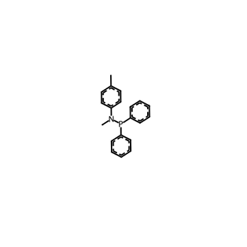 Cc1ccc(N(C)P(c2ccccc2)c2ccccc2)cc1